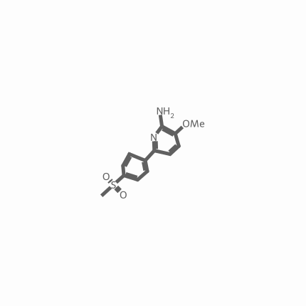 COc1ccc(-c2ccc(S(C)(=O)=O)cc2)nc1N